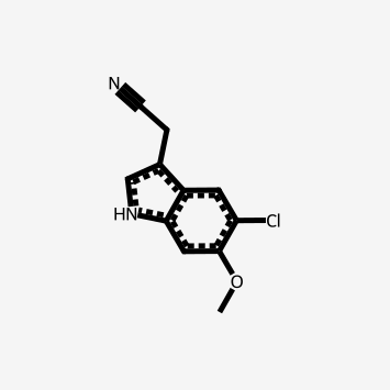 COc1cc2[nH]cc(CC#N)c2cc1Cl